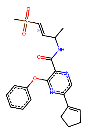 CC(/C=C/S(C)(=O)=O)NC(=O)c1ncc(C2=CCCC2)nc1Oc1ccccc1